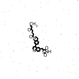 C/C=C/C(=O)CCCC(=O)N1CCc2ccc(-c3ccnc4ccc(/C=C5\SC(=O)NC5=O)cc34)cc2C1